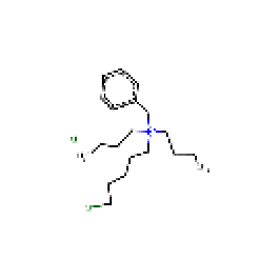 CCCC[N+](CCCC)(CCCCCCl)Cc1ccccc1.[Cl-]